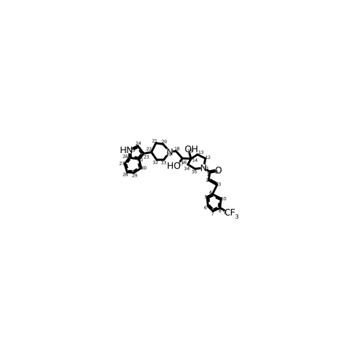 O=C(C=Cc1cccc(C(F)(F)F)c1)N1CCC(O)(C(O)CN2CCC(c3c[nH]c4ccccc34)CC2)CC1